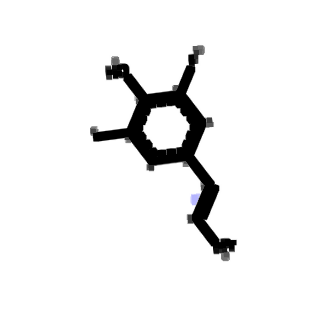 CCC/C=C/c1cc(C)c(O)c(F)c1